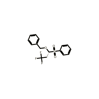 O=S(=O)(c1ccccc1)[C@H]([CH]C(F)(F)F)OCc1ccccc1